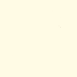 CCC(=O)N1CCCC(c2ccc(OC)c(OC)c2)C1